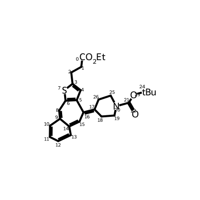 CCOC(=O)CCc1cc2c(s1)C=c1ccccc1=CC2=C1CCN(C(=O)OC(C)(C)C)CC1